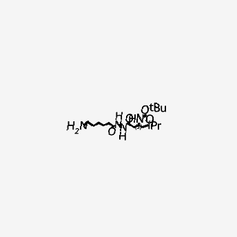 CC(C)C[C@@H](CC(=O)NNC(=O)CCCCCN)NC(=O)OC(C)(C)C